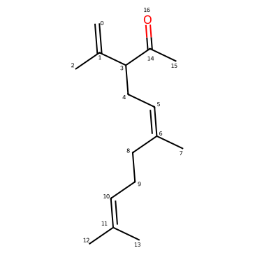 C=C(C)C(CC=C(C)CCC=C(C)C)C(C)=O